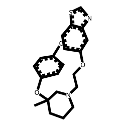 CC1(Oc2ccc(Cl)cc2)CCCN(CCOc2ccc3scnc3c2)C1